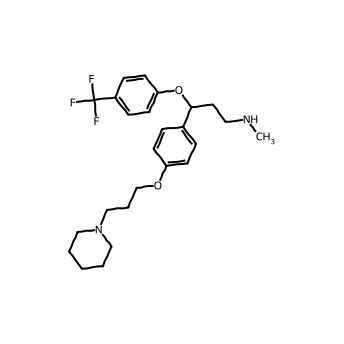 CNCCC(Oc1ccc(C(F)(F)F)cc1)c1ccc(OCCCN2CCCCC2)cc1